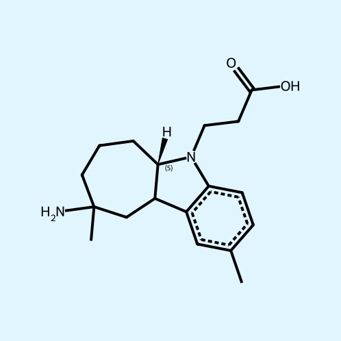 Cc1ccc2c(c1)C1CC(C)(N)CCC[C@@H]1N2CCC(=O)O